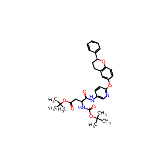 CC(C)(C)OC(=O)CC(NC(=O)OC(C)(C)C)C(=O)Nc1ccc(Oc2ccc3c(c2)CC[C@@H](c2ccccc2)O3)nc1